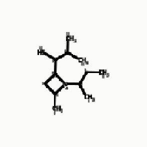 CCC(C)N1C(C)CC1C(S)C(C)C